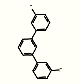 Fc1cccc(-c2cccc(-c3cccc(F)c3)c2)c1